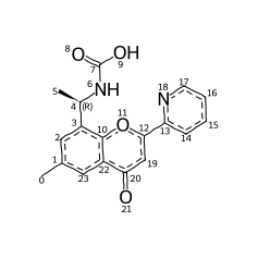 Cc1cc([C@@H](C)NC(=O)O)c2oc(-c3ccccn3)cc(=O)c2c1